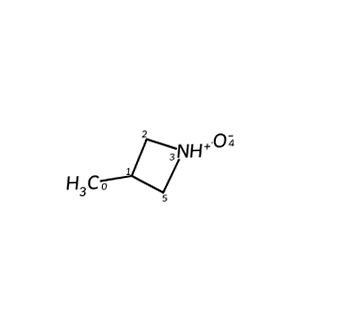 CC1C[NH+]([O-])C1